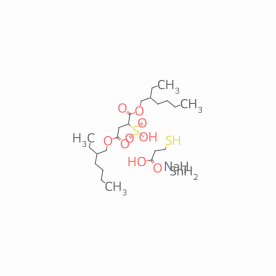 CCCCC(CC)COC(=O)CC(C(=O)OCC(CC)CCCC)S(=O)(=O)O.O=C(O)CCS.[NaH].[SnH2]